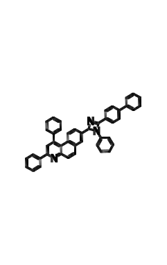 c1ccc(-c2ccc(C3=NC(c4ccc5c(ccc6nc(-c7ccccc7)cc(-c7ccccc7)c65)c4)N3c3ccccc3)cc2)cc1